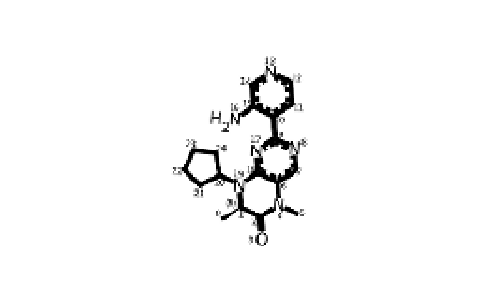 C[C@@H]1C(=O)N(C)c2cnc(-c3ccncc3N)nc2N1C1CCCC1